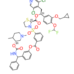 CC1CCN(C)C[C@@H]1OC(=O)NC(c1ccccc1)c1cccc(OC(=O)c2cccc(S(=O)(=O)N3CCS[C@H]3C(=O)O[C@@H](Cc3c(Cl)cncc3Cl)c3ccc(OC(F)F)c(OCC4CC4)c3)c2)c1